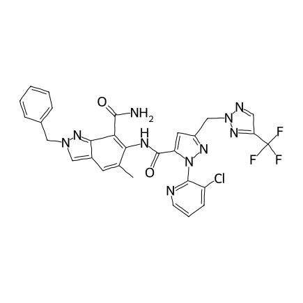 Cc1cc2cn(Cc3ccccc3)nc2c(C(N)=O)c1NC(=O)c1cc(Cn2ncc(C(F)(F)F)n2)nn1-c1ncccc1Cl